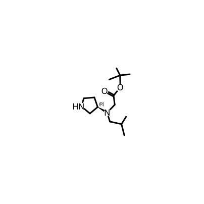 CC(C)CN(CC(=O)OC(C)(C)C)[C@@H]1CCNC1